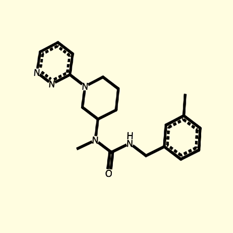 Cc1cccc(CNC(=O)N(C)C2CCCN(c3cccnn3)C2)c1